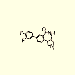 CN1CC2CNC(=O)c3cc(-c4ccc(F)c(F)c4)ccc3C2C1